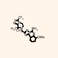 COc1cccc2c1nc(N)n1nc(CN3CCn4c(C(F)(F)F)nnc4C3(C)C)nc21